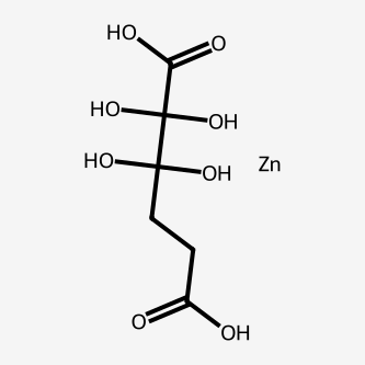 O=C(O)CCC(O)(O)C(O)(O)C(=O)O.[Zn]